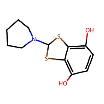 Oc1ccc(O)c2c1SC(N1CCCCC1)S2